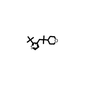 CC(C)(C)c1sccc1CC(C)(C)C1CCOCC1